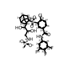 CS(=O)(=O)NCC(O)C(O)CC1(O)C2CC1CC(S(=O)(=O)c1cc(C(=O)Nc3cc(F)c(F)c(F)c3)ccc1Cl)C2